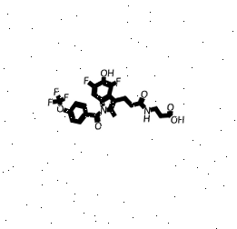 Cc1c(CCC(=O)NCCC(=O)O)c2c(F)c(O)c(F)cc2n1C(=O)c1ccc(OC(F)(F)F)cc1